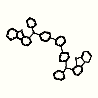 C1=CCC2C(=C1)Sc1c2cccc1N(c1ccccc1)c1ccc(-c2cccc(-c3ccc(N(c4ccccc4)c4cccc5c4sc4ccccc45)cc3)c2)cc1